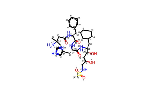 CC(C)S(=O)(=O)NC[C@H](O)C[C@H](O)[C@H](CC1CCCCC1)NC(=O)[C@H](Cc1c[nH]cn1)NC(=O)[C@H](Cc1ccccc1)NC(=O)CC(C)(C)N